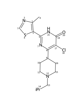 Cc1ncsc1-c1nc(C2CCN(CC(C)C)CC2)c(Cl)c(=O)[nH]1